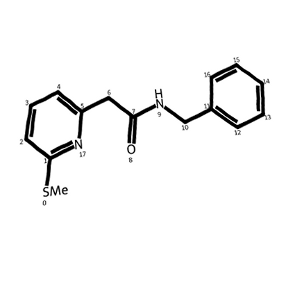 CSc1cccc(CC(=O)NCc2ccccc2)n1